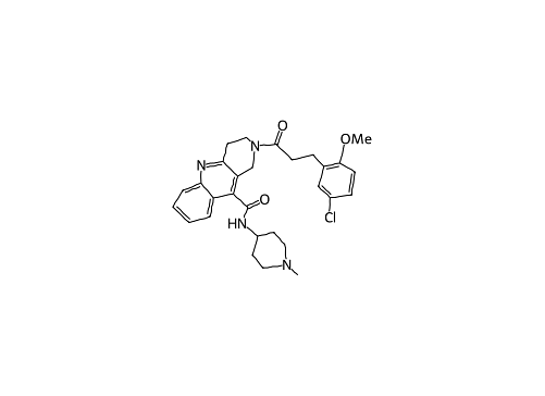 COc1ccc(Cl)cc1CCC(=O)N1CCc2nc3ccccc3c(C(=O)NC3CCN(C)CC3)c2C1